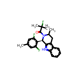 Cc1cc(F)c([C@@H]2c3[nH]c4ccccc4c3CC(C)N2C(=O)C(C)(C)F)c(F)c1